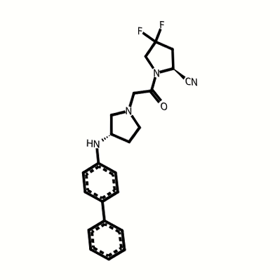 N#C[C@@H]1CC(F)(F)CN1C(=O)CN1CC[C@H](Nc2ccc(-c3ccccc3)cc2)C1